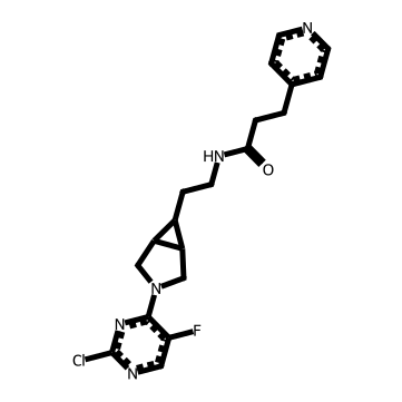 O=C(CCc1ccncc1)NCCC1C2CN(c3nc(Cl)ncc3F)CC12